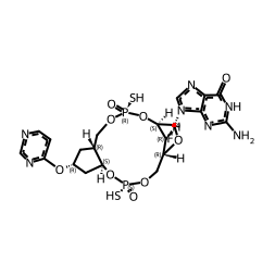 Nc1nc2c(ncn2[C@@H]2O[C@@H]3CO[P@](=O)(S)O[C@H]4C[C@H](Oc5ccncn5)C[C@@H]4CO[P@@](=O)(S)O[C@@H]2[C@@H]3F)c(=O)[nH]1